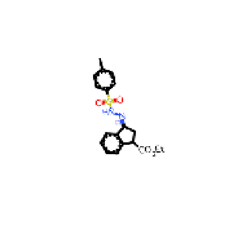 CCOC(=O)C1C/C(=N/NS(=O)(=O)c2ccc(C)cc2)c2ccccc21